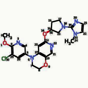 COc1ncc(N2CCOc3cnc(O[C@H]4CCN(c5n[c]cn5C)C4)cc32)cc1Cl